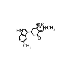 Cc1ccc2[nH]cc(C3CC(=O)C(=CN(C)C)C(=O)C3)c2c1